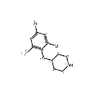 Cc1cc(Cl)cc(Cl)c1OC1CCNCC1